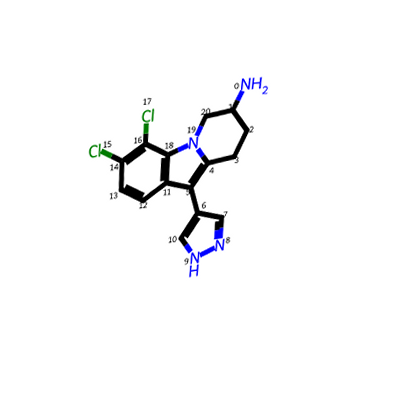 NC1CCc2c(-c3cn[nH]c3)c3ccc(Cl)c(Cl)c3n2C1